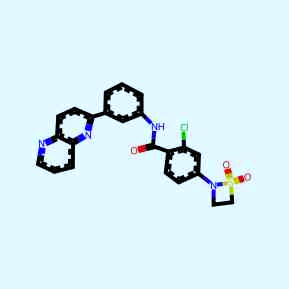 O=C(Nc1cccc(-c2ccc3ncccc3n2)c1)c1ccc(N2CCS2(=O)=O)cc1Cl